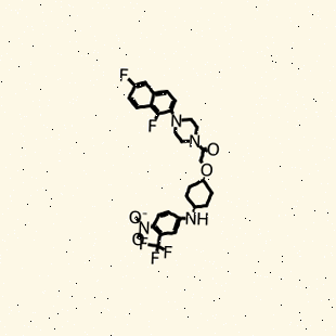 O=C(CO[C@H]1CC[C@H](Nc2ccc([N+](=O)[O-])c(C(F)(F)F)c2)CC1)N1CCN(c2ccc3cc(F)ccc3c2F)CC1